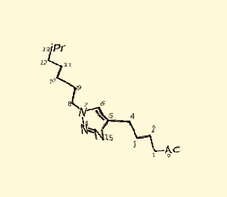 CC(=O)CCCCc1cn(CCCCCC(C)C)nn1